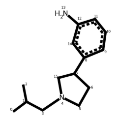 C[C](C)CN1CCC(c2cccc(N)c2)C1